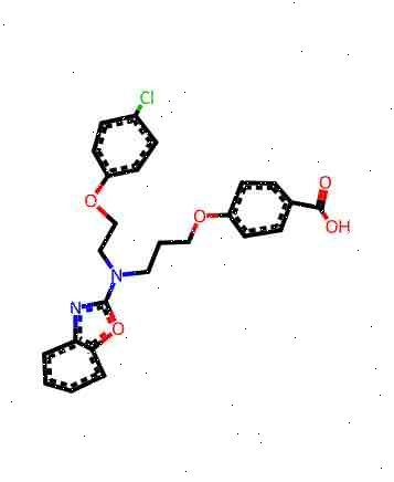 O=C(O)c1ccc(OCCCN(CCOc2ccc(Cl)cc2)c2nc3ccccc3o2)cc1